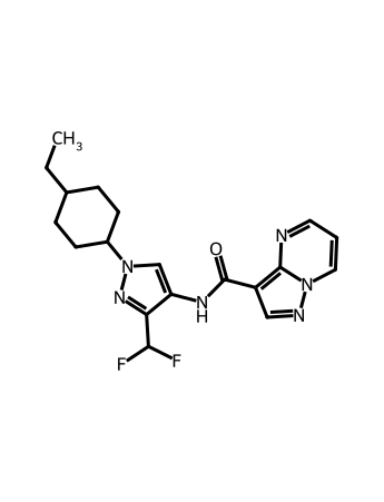 CCC1CCC(n2cc(NC(=O)c3cnn4cccnc34)c(C(F)F)n2)CC1